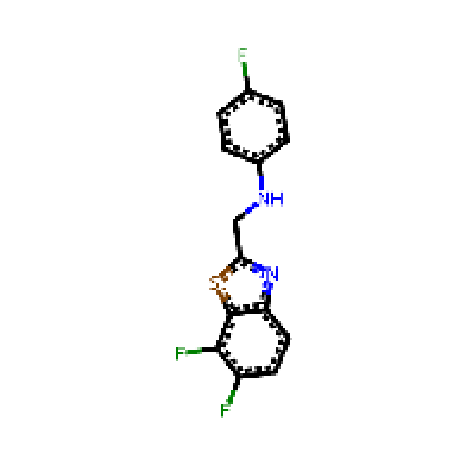 Fc1ccc(NCc2nc3ccc(F)c(F)c3s2)cc1